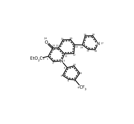 CCOC(=O)c1cn(-c2ccc(C(F)(F)F)cc2)c2cc(-c3ccncc3)ccc2c1=O